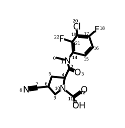 CN(C(=O)C1CC(C#N)CN1C(=O)O)c1ccc(F)c(Cl)c1F